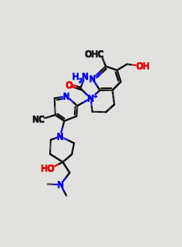 CN(C)CC1(O)CCN(c2cc([N+]3(C(N)=O)CCCc4cc(CO)c(C=O)nc43)ncc2C#N)CC1